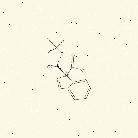 CC(C)(C)OC(=O)[N@+]1(C(=O)Cl)C=Cc2ccccc21